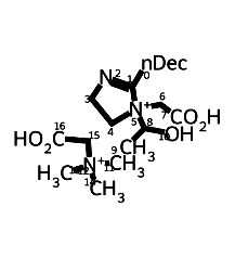 CCCCCCCCCCC1=NCC[N+]1(CC(=O)O)C(C)O.C[N+](C)(C)CC(=O)O